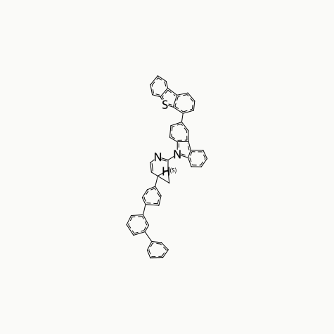 C1=CC2(c3ccc(-c4cccc(-c5ccccc5)c4)cc3)C[C@@H]2C(n2c3ccccc3c3cc(-c4cccc5c4sc4ccccc45)ccc32)=N1